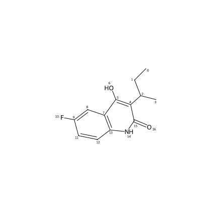 CCC(C)c1c(O)c2cc(F)ccc2[nH]c1=O